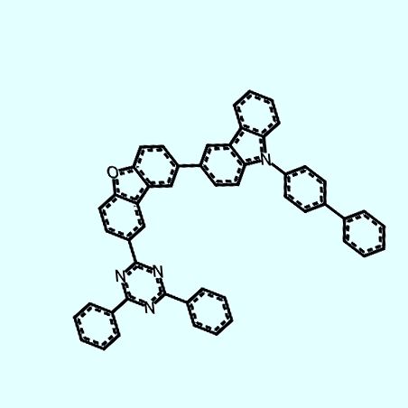 c1ccc(-c2ccc(-n3c4ccccc4c4cc(-c5ccc6oc7ccc(-c8nc(-c9ccccc9)nc(-c9ccccc9)n8)cc7c6c5)ccc43)cc2)cc1